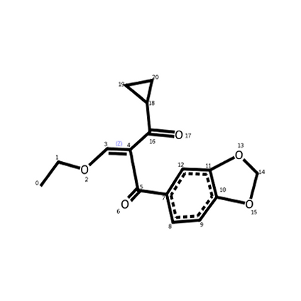 CCO/C=C(\C(=O)c1ccc2c(c1)OCO2)C(=O)C1CC1